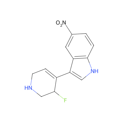 O=[N+]([O-])c1ccc2[nH]cc(C3=CCNCC3F)c2c1